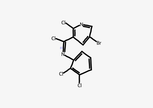 Cl/C(=N/c1cccc(Cl)c1Cl)c1cc(Br)cnc1Cl